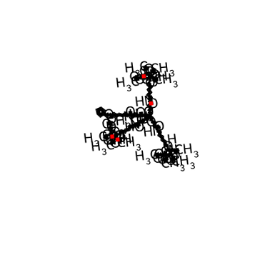 CC(=O)NC1C(OC(C)=O)[C@H](OC(C)=O)C(COC(C)=O)O[C@H]1OCCCCCCNC(=O)CCOCC(CNC(=O)CCCC(=O)NCCCCCC(=O)OCc1ccccc1)(COCCC(=O)NCCCCCCO[C@@H]1OC(COC(C)=O)[C@@H](OC(C)=O)C(OC(C)=O)C1NC(C)=O)COCCC(=O)NCCCCCCO[C@@H]1OC(COC(C)=O)[C@@H](OC(C)=O)[C@H](OC(C)=O)C1NC(C)=O